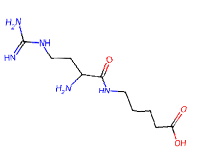 N=C(N)NCCC(N)C(=O)NCCCCC(=O)O